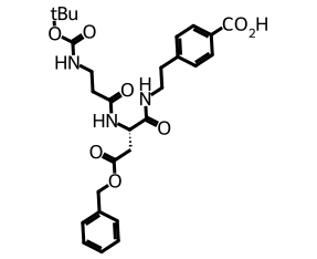 CC(C)(C)OC(=O)NCCC(=O)N[C@@H](CC(=O)OCc1ccccc1)C(=O)NCCc1ccc(C(=O)O)cc1